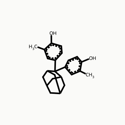 Cc1cc(C2(c3ccc(O)c(C)c3)C3CC4CC(C3)CC2C4)ccc1O